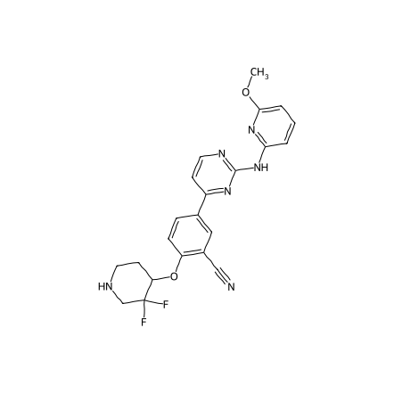 COc1cccc(Nc2nccc(-c3ccc(OC4CCNCC4(F)F)c(C#N)c3)n2)n1